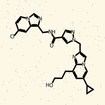 O=C(NCc1ncn2ccc(Cl)cc12)c1cnn(Cc2cn3cc(C4CC4)cc(CCCO)c3n2)c1